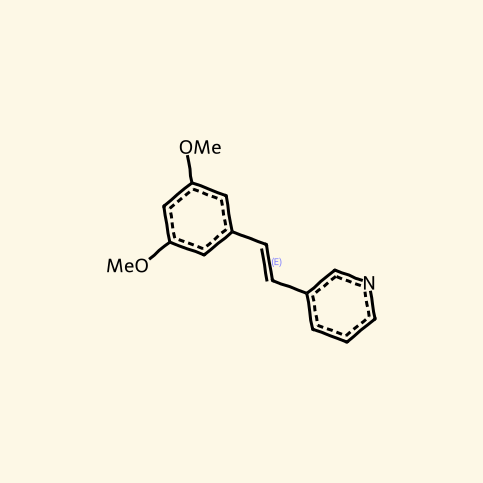 COc1cc(/C=C/c2cccnc2)cc(OC)c1